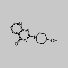 O=c1nc(N2CCC(O)CC2)sc2ncccc12